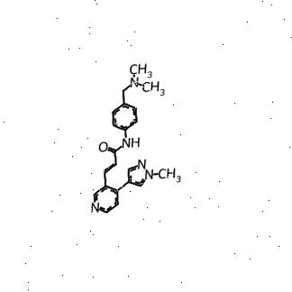 CN(C)Cc1ccc(NC(=O)C=Cc2cnccc2-c2cnn(C)c2)cc1